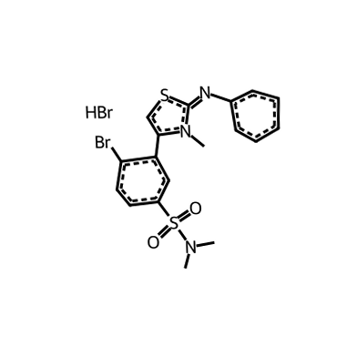 Br.CN(C)S(=O)(=O)c1ccc(Br)c(-c2csc(=Nc3ccccc3)n2C)c1